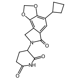 O=C1CCC(N2Cc3c(cc(C4CCC4)c4c3OCO4)C2=O)C(=O)N1